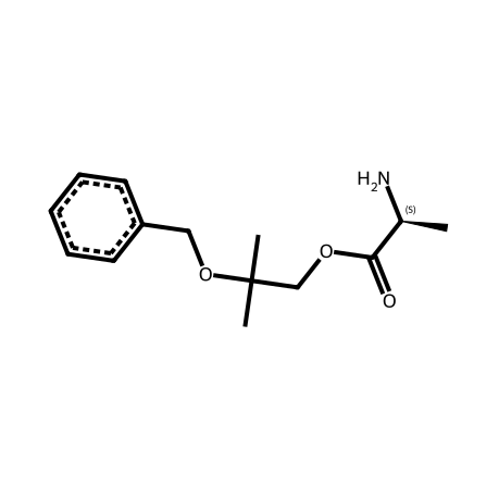 C[C@H](N)C(=O)OCC(C)(C)OCc1ccccc1